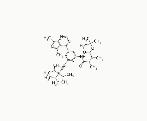 Cc1nn(C)c2c(-c3cc(C#C[Si](C(C)C)(C(C)C)C(C)C)nc(NC(=O)C(C)N(C)C(=O)OC(C)(C)C)c3)ncnc12